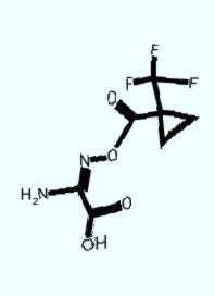 N/C(=N/OC(=O)C1(C(F)(F)F)CC1)C(=O)O